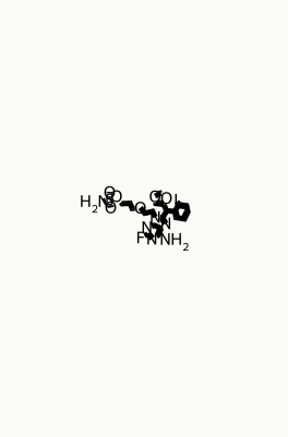 Nc1nc(F)nc2c1nc(C(C1=COCO1)c1ccccc1I)n2CCOCCCOS(N)(=O)=O